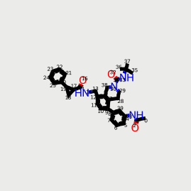 CC(=O)Nc1cccc(-c2ccc(CNC(=O)C3CC3c3ccccc3)c3c2CCN(C(=O)NC(C)(C)C)C3)c1